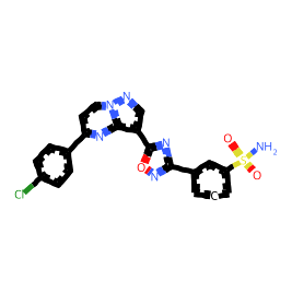 NS(=O)(=O)c1cccc(-c2noc(-c3cnn4ccc(-c5ccc(Cl)cc5)nc34)n2)c1